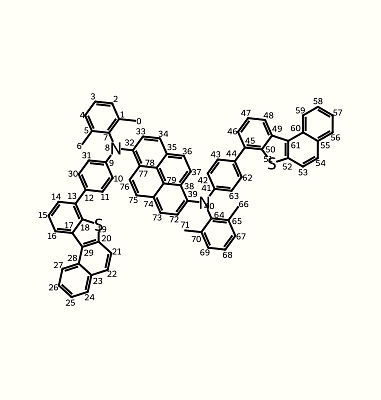 Cc1cccc(C)c1N(c1ccc(-c2cccc3c2sc2ccc4ccccc4c23)cc1)c1ccc2ccc3c(N(c4ccc(-c5cccc6c5sc5ccc7ccccc7c56)cc4)c4c(C)cccc4C)ccc4ccc1c2c43